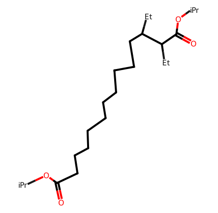 CCC(CCCCCCCCCCC(=O)OC(C)C)C(CC)C(=O)OC(C)C